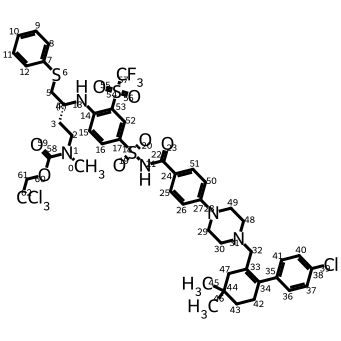 CN(CC[C@H](CSc1ccccc1)Nc1ccc(S(=O)(=O)NC(=O)c2ccc(N3CCN(CC4=C(c5ccc(Cl)cc5)CCC(C)(C)C4)CC3)cc2)cc1S(=O)(=O)C(F)(F)F)C(=O)OCC(Cl)(Cl)Cl